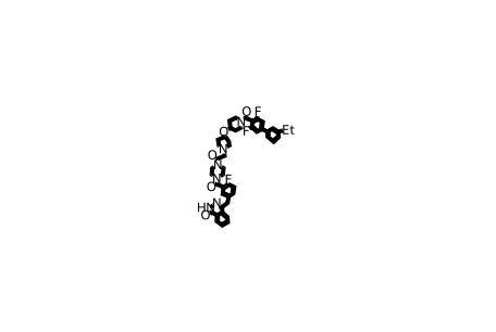 CCc1cccc(-c2cc(F)c(C(=O)N3CCC(OC4CCN(CC(=O)N5CCN(C(=O)c6cc(Cc7n[nH]c(=O)c8ccccc78)ccc6F)CC5)CC4)CC3)c(F)c2)c1